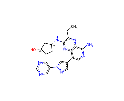 CCc1nc2c(N)ncc(-c3cnn(-c4cncnc4)c3)c2nc1N[C@@H]1CC[C@H](O)C1